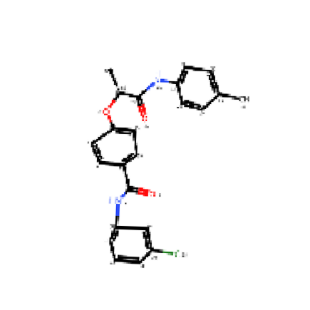 C[C@H](Oc1ccc(C(=O)Nc2cccc(Cl)c2)cc1)C(=O)Nc1ccc(C#N)cc1